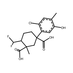 Cc1cc(Cl)c(C2(C(=O)O)CCC(C(F)F)C(C)(C(=O)O)C2)cc1O